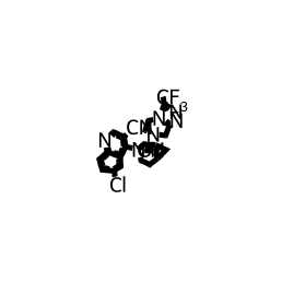 N#Cc1cnc2ccc(Cl)cc2c1N1CC[C@]2(C(=O)N3CCn4c(nnc4C(F)(F)F)C3)C[C@@H]2C1